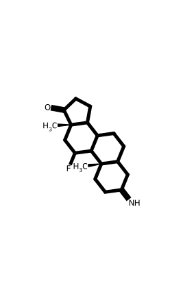 C[C@]12CCC(=N)CC1CCC1C2C(F)C[C@]2(C)C(=O)CCC12